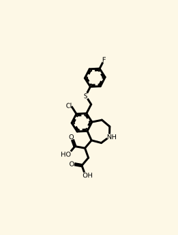 O=C(O)CC(C(=O)O)C1CNCCc2c1ccc(Cl)c2CSc1ccc(F)cc1